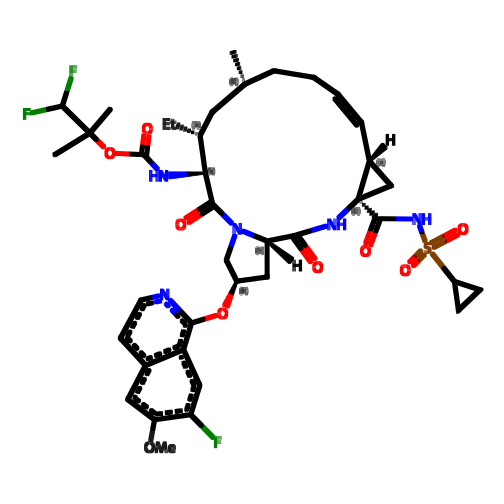 CC[C@@H]1C[C@H](C)CCC=C[C@@H]2C[C@@]2(C(=O)NS(=O)(=O)C2CC2)NC(=O)[C@@H]2C[C@@H](Oc3nccc4cc(OC)c(F)cc34)CN2C(=O)[C@H]1NC(=O)OC(C)(C)C(F)F